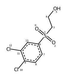 O=S(=O)(CCO)c1ccc(Cl)c(Cl)c1